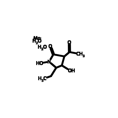 CCC1C(O)C(C(C)=O)C(=O)N1O.O.O.[Mn]